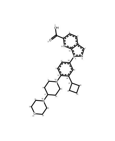 O=C(O)c1ccc2cnn(-c3ccc(N4CCC(N5CCOCC5)CC4)c(C4CCC4)c3)c2n1